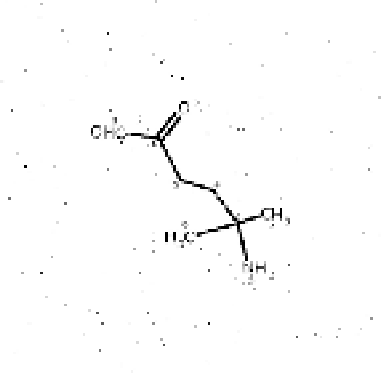 CC(C)(N)CCC(=O)[C]=O